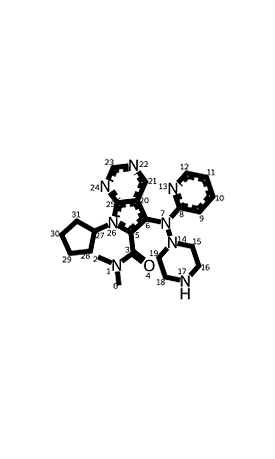 CN(C)C(=O)c1c(N(c2ccccn2)N2CCNCC2)c2cncnc2n1C1CCCC1